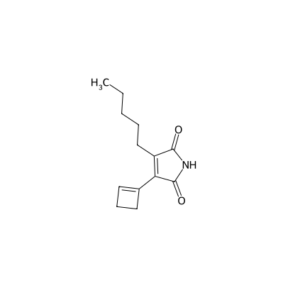 CCCCCC1=C(C2=CCC2)C(=O)NC1=O